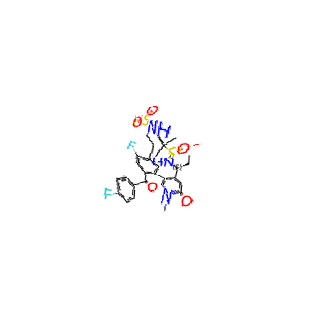 CC[C@H](N[S+]([O-])C(C)(C)C)c1cc(=O)n(C)cc1-c1cc(CCN[SH](=O)=O)c(F)cc1C(=O)c1ccc(F)cc1